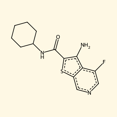 Nc1c(C(=O)NC2CCCCC2)sc2cncc(F)c12